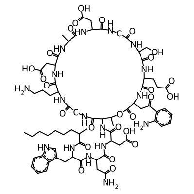 CCCCCCCC(C)C(=O)NC(Cc1c[nH]c2ccccc12)C(=O)NC(CC(N)=O)C(=O)NC(CC(=O)O)C(=O)NC1C(=O)NCC(=O)NC(CCCN)C(=O)NC(CC(=O)O)C(=O)NC(C)C(=O)NC(CC(=O)O)C(=O)NCC(=O)NC(CO)C(=O)NC(CCC(=O)O)C(=O)NC(CC(=O)c2ccccc2N)C(=O)OC1C